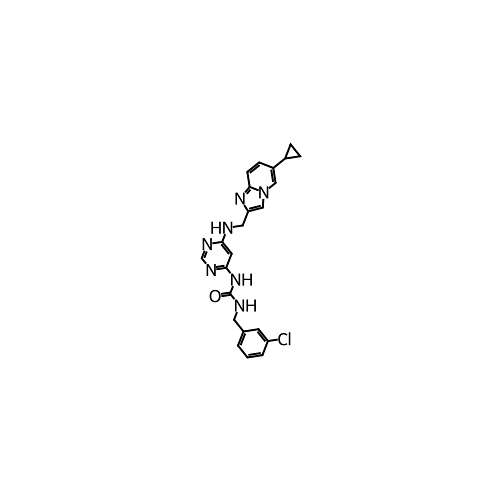 O=C(NCc1cccc(Cl)c1)Nc1cc(NCc2cn3cc(C4CC4)ccc3n2)ncn1